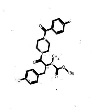 CN(C(=O)OC(C)(C)C)[C@@H](Cc1ccc(O)cc1)C(=O)N1CCN(C(=O)c2ccc(F)cc2)CC1